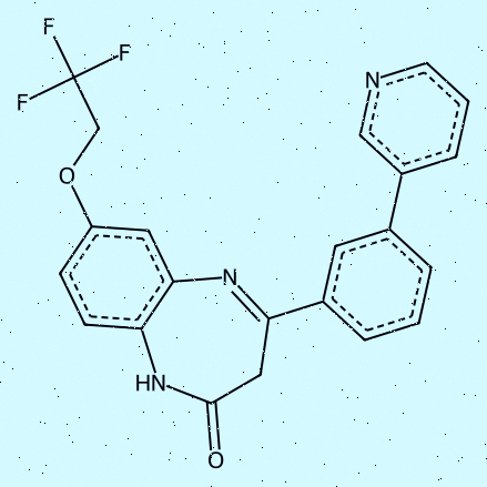 O=C1CC(c2cccc(-c3cccnc3)c2)=Nc2cc(OCC(F)(F)F)ccc2N1